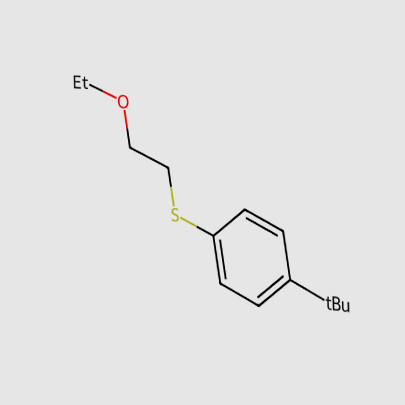 CCOCCSc1ccc(C(C)(C)C)cc1